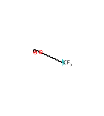 FC(F)(F)C(F)(F)CCCCCCCCCCCCCCCOCCC1CCCO1